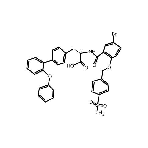 CS(=O)(=O)c1ccc(COc2ccc(Br)cc2C(=O)N[C@@H](Cc2ccc(-c3ccccc3Oc3ccccc3)cc2)C(=O)O)cc1